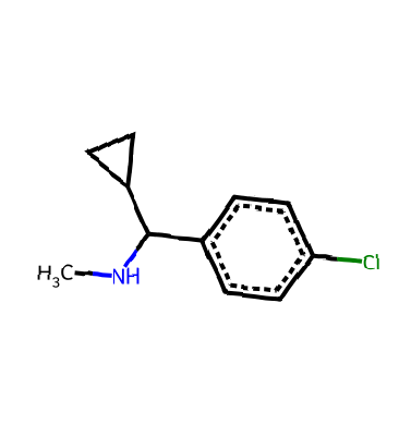 CNC(c1ccc(Cl)cc1)C1CC1